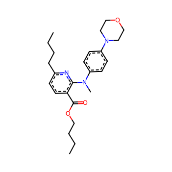 CCCCOC(=O)c1ccc(CCCC)nc1N(C)c1ccc(N2CCOCC2)cc1